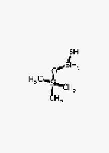 C[Si](C)(C)O[SiH2]S